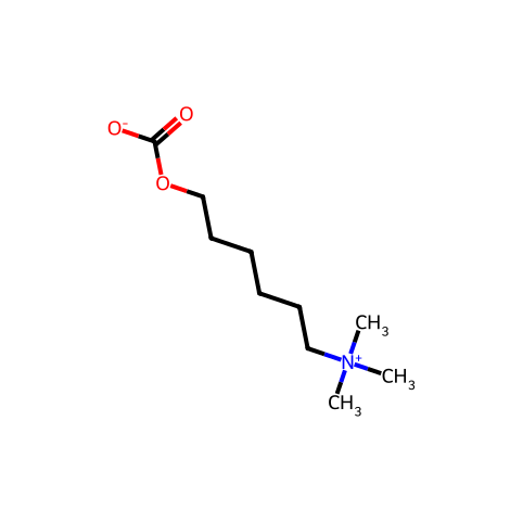 C[N+](C)(C)CCCCCCOC(=O)[O-]